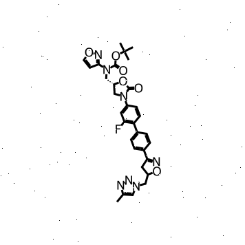 Cc1cn(CC2CC(c3ccc(-c4ccc(N5C[C@H](CN(C(=O)OC(C)(C)C)c6ccon6)OC5=O)cc4F)cc3)=NO2)nn1